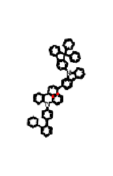 c1ccc(-c2ccccc2-c2ccc(N(c3ccccc3)c3ccccc3-c3ccc(-c4ccc5c6ccccc6n(-c6ccc7c(c6)C(c6ccccc6)(c6ccccc6)c6ccccc6-7)c5c4)cc3)cc2)cc1